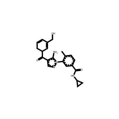 Cc1ccc(C(=O)NC2CC2)cc1-n1ncc(C(=O)C2C=C(CO)C=CC2)c1N